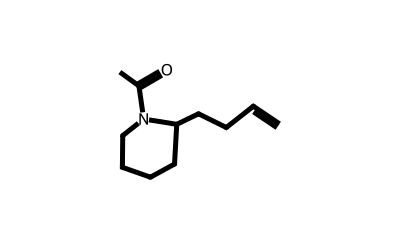 C=CCCC1CCCCN1C(C)=O